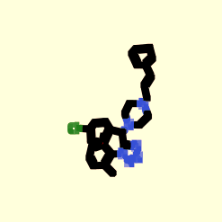 Cc1cccc(C)c1-n1nnnc1C(c1ccc(Cl)cc1)N1CCN(C/C=C/c2ccccc2)CC1